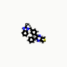 Cc1nc2ccccc2n1Cc1ccc(-c2nc3cscc3nc2-c2ccccc2)cc1